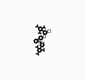 CC(C)c1cc(C(C)C)c(-c2cc(Cl)cc(Oc3ccc4c5ccccc5n(-c5cc(-c6c(C(C)C)cc(C(C)C)cc6C(C)C)ccn5)c4c3)c2)c(C(C)C)c1